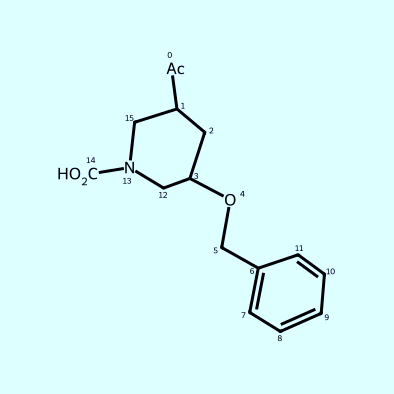 CC(=O)C1CC(OCc2ccccc2)CN(C(=O)O)C1